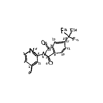 Cc1ccnc(N2C(=O)c3ccc(C(F)(F)F)cc3C2=O)c1